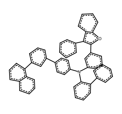 c1ccc(-c2ccccc2N(c2ccc(-c3cccc(-c4cccc5ccccc45)c3)cc2)c2cccc(-c3oc4ccccc4c3-c3ccccc3)c2)cc1